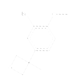 COc1ccc(C2(C)COC2)cc1Br